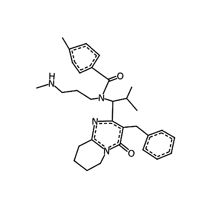 CNCCCN(C(=O)c1ccc(C)cc1)C(c1nc2n(c(=O)c1Cc1ccccc1)CCCC2)C(C)C